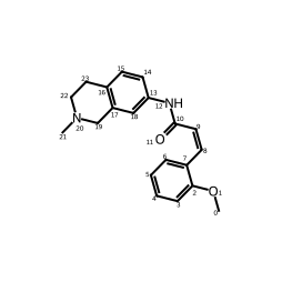 COc1ccccc1/C=C\C(=O)Nc1ccc2c(c1)CN(C)CC2